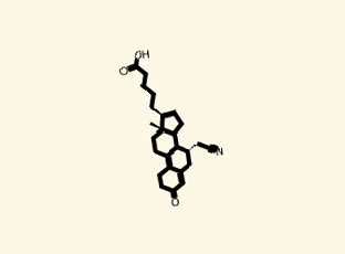 C[C@]12CCC3=C4CCC(=O)C=C4C[C@@H](CC#N)C3C1CC[C@@H]2CCCCC(=O)O